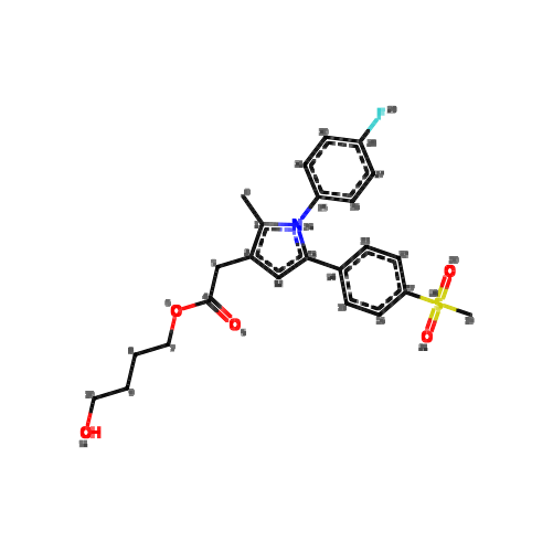 Cc1c(CC(=O)OCCCCO)cc(-c2ccc(S(C)(=O)=O)cc2)n1-c1ccc(F)cc1